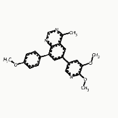 COc1ccc(-c2cc(-c3cnc(OC)c(OC)c3)cc3c(C)ncnc23)cc1